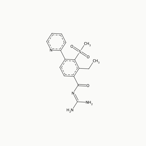 CCc1c(C(=O)N=C(N)N)ccc(-c2ccccn2)c1S(C)(=O)=O